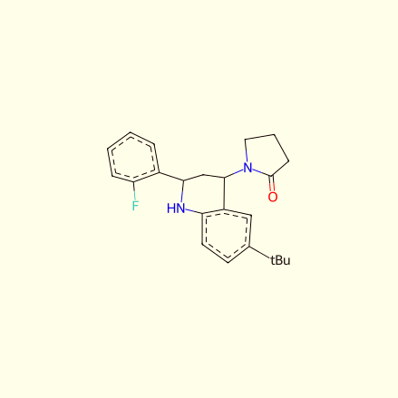 CC(C)(C)c1ccc2c(c1)C(N1CCCC1=O)CC(c1ccccc1F)N2